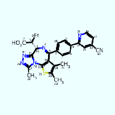 CCC(C(=O)O)[C@@H]1N=C(c2ccc(-c3cc(C#N)ccn3)cc2)c2c(sc(C)c2C)-n2c(C)nnc21